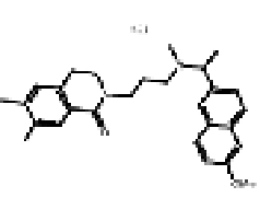 COc1ccc2cc(C(C)N(C)CCCN3CCc4cc(C)c(C)cc4C3=O)ccc2c1.Cl